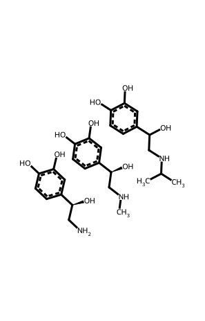 CC(C)NCC(O)c1ccc(O)c(O)c1.CNC[C@H](O)c1ccc(O)c(O)c1.NC[C@H](O)c1ccc(O)c(O)c1